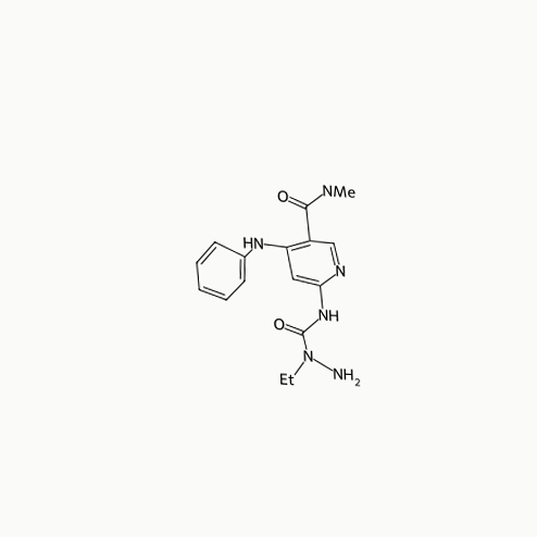 CCN(N)C(=O)Nc1cc(Nc2ccccc2)c(C(=O)NC)cn1